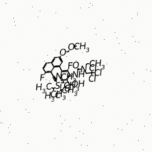 CCN(CC(Cl)(Cl)Cl)C(=O)Nc1c(C(=O)O)cnc(-c2cc(OCOC)cc3ccc(F)c(C#C[Si](C(C)C)(C(C)C)C(C)C)c23)c1F